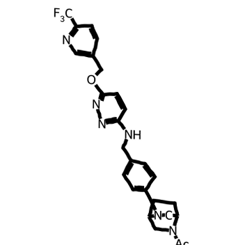 CC(=O)N1CC2CCC1CN2c1ccc(CNc2ccc(OCc3ccc(C(F)(F)F)nc3)nn2)cc1